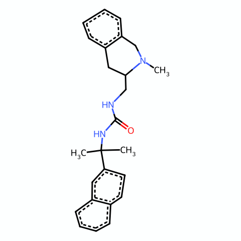 CN1Cc2ccccc2CC1CNC(=O)NC(C)(C)c1ccc2ccccc2c1